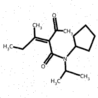 CC/C(C)=C(/C(C)=O)C(=O)N(C(C)C)C1CCCC1